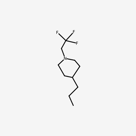 CCCC1CCN(CC(F)(F)F)CC1